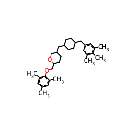 Cc1cc(C)c(OCC2CCC(CC3CCC(Cc4cc(C)c(C)c(C)c4)CC3)CO2)c(C)c1